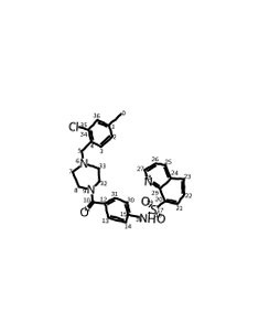 Cc1ccc(CN2CCN(C(=O)c3ccc(NS(=O)(=O)c4cccc5cccnc45)cc3)CC2)c(Cl)c1